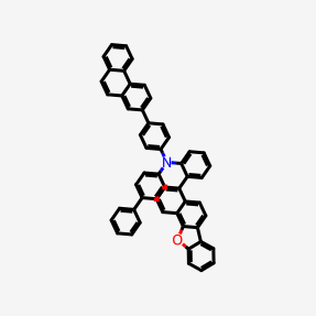 c1ccc(-c2ccc(N(c3ccc(-c4ccc5c(ccc6ccccc65)c4)cc3)c3ccccc3-c3cccc4c3ccc3c5ccccc5oc43)cc2)cc1